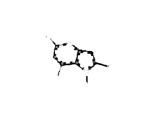 CCc1cc2nc(Br)cc(Br)c2n1CC